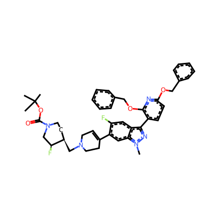 Cn1nc(-c2ccc(OCc3ccccc3)nc2OCc2ccccc2)c2cc(F)c(C3=CCN(C[C@@H]4CCN(C(=O)OC(C)(C)C)C[C@@H]4F)CC3)cc21